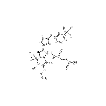 CCCn1c(=O)c2c(nc(-c3cnn(Cc4cccc(C(F)(F)F)c4)c3)n2COC(=O)CCC(=O)O)n(CC)c1=O